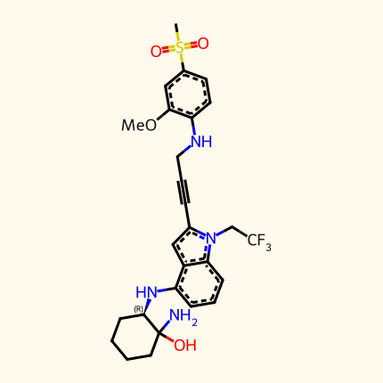 COc1cc(S(C)(=O)=O)ccc1NCC#Cc1cc2c(N[C@@H]3CCCCC3(N)O)cccc2n1CC(F)(F)F